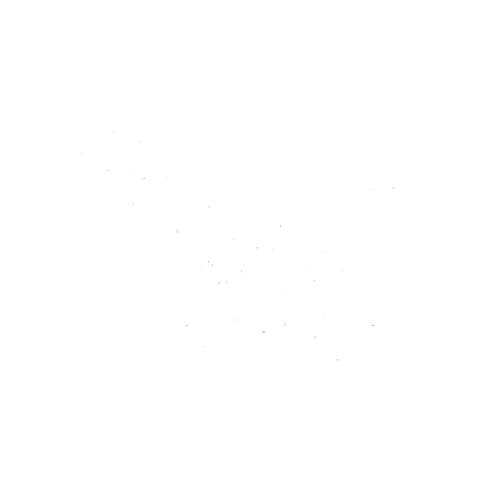 c1ccc(-c2ccc3cc(-c4nc(-c5ccc6cc(-c7ccccc7)ccc6c5)nc(-c5ccccc5-c5ccc(-c6cccc7ccccc67)cc5)n4)ccc3c2)cc1